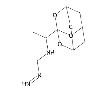 CC(NCN=N)C12OC3CC(CC(C3)O1)O2